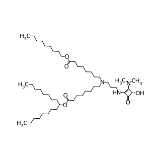 CCCCCCCCCOC(=O)CCCCCCCN(CCCCCCCC(=O)OC(CCCCCCCC)CCCCCCCC)CCCNC1=C(N(C)C)C(O)C1=O